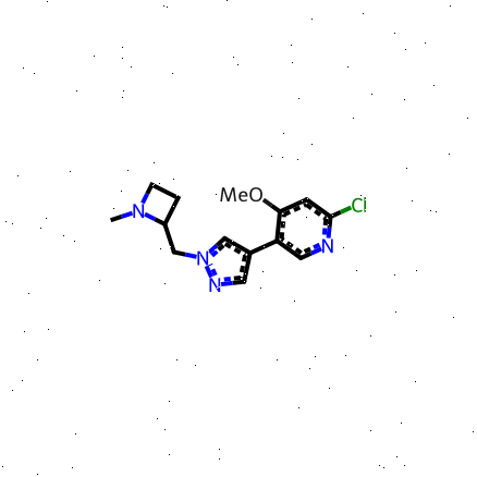 COc1cc(Cl)ncc1-c1cnn(CC2CCN2C)c1